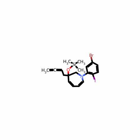 C=C=CCC1(O[Si](C)(C)C)C=CC=CN(c2cc(Br)ccc2I)C1